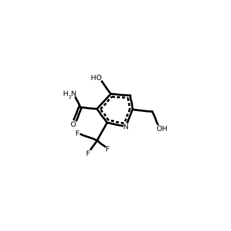 NC(=O)c1c(O)cc(CO)nc1C(F)(F)F